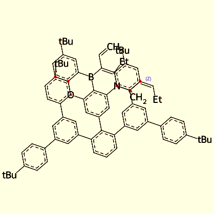 C=CC1=C(CC)N(C(=C)/C=C\CC)c2cc(-c3c(-c4cc(-c5ccc(C(C)(C)C)cc5)cc(-c5ccc(C(C)(C)C)cc5)c4)cccc3-c3cc(-c4ccc(C(C)(C)C)cc4)cc(-c4ccc(C(C)(C)C)cc4)c3)cc3c2B1c1cc(C(C)(C)C)ccc1O3